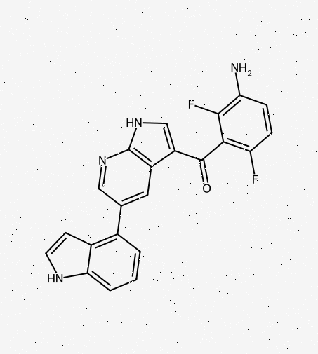 Nc1ccc(F)c(C(=O)c2c[nH]c3ncc(-c4cccc5[nH]ccc45)cc23)c1F